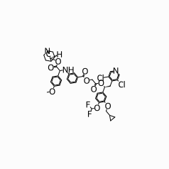 COc1ccc(C(Nc2cccc(C(=O)OCC(=O)O[C@@H](Cc3c(Cl)cncc3Cl)c3ccc(OC(F)F)c(OCC4CC4)c3)c2)C(=O)O[C@H]2CN3CCC2CC3)cc1